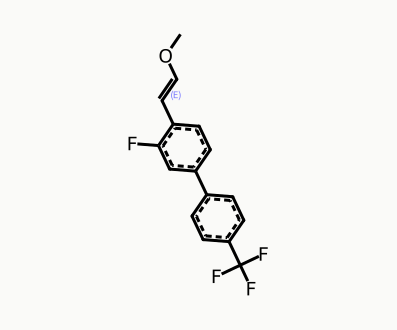 CO/C=C/c1ccc(-c2ccc(C(F)(F)F)cc2)cc1F